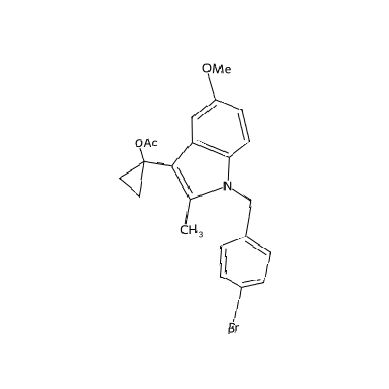 COc1ccc2c(c1)c(C1(OC(C)=O)CC1)c(C)n2Cc1ccc(Br)cc1